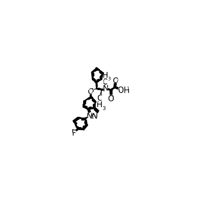 C[C@@H]([C@H](Oc1ccc2c(cnn2-c2ccc(F)cc2)c1)c1ccccc1)N(C)C(=O)C(=O)O